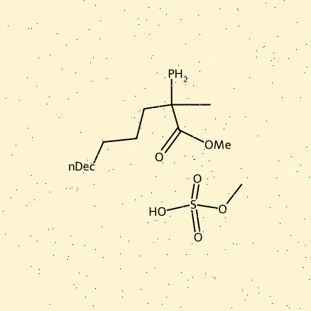 CCCCCCCCCCCCCC(C)(P)C(=O)OC.COS(=O)(=O)O